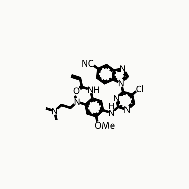 C=CC(=O)Nc1cc(Nc2ncc(Cl)c(-n3cnc4cc(C#N)ccc43)n2)c(OC)cc1N(C)CCN(C)C